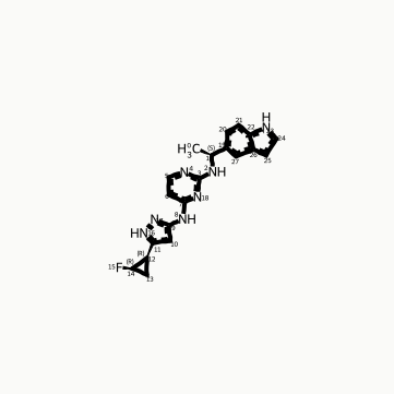 C[C@H](Nc1nccc(Nc2cc([C@H]3C[C@H]3F)[nH]n2)n1)c1ccc2[nH]ccc2c1